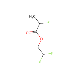 CC(F)C(=O)OCC(F)F